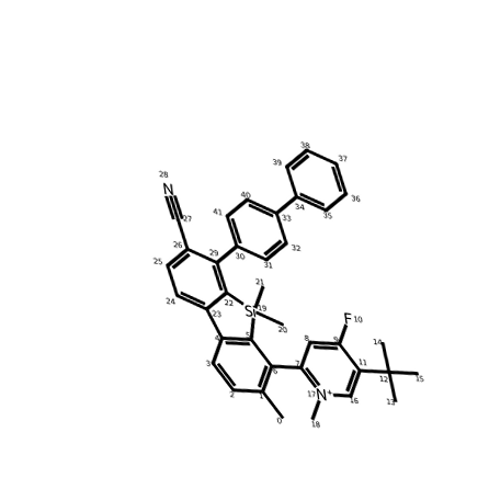 Cc1ccc2c(c1-c1cc(F)c(C(C)(C)C)c[n+]1C)[Si](C)(C)c1c-2ccc(C#N)c1-c1ccc(-c2ccccc2)cc1